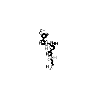 CCCCC(=O)Nc1cncc(-c2ccc3[nH]nc(-c4nc5c(-c6cc(F)cc(OC)c6)cncc5[nH]4)c3n2)c1